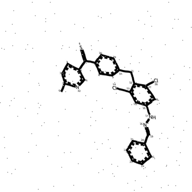 Cc1ccc(C(=S)c2ccc(Cc3c(Cl)cc(NN=Cc4ccccc4)cc3Cl)cc2)cn1